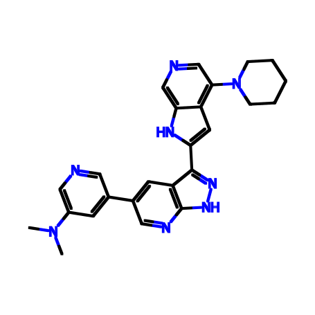 CN(C)c1cncc(-c2cnc3[nH]nc(-c4cc5c(N6CCCCC6)cncc5[nH]4)c3c2)c1